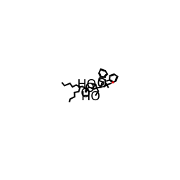 CCCCCC(CCCCC)CC(=O)OCC(CO)(CO)CO[Si](c1ccccc1)(c1ccccc1)C(C)(C)C